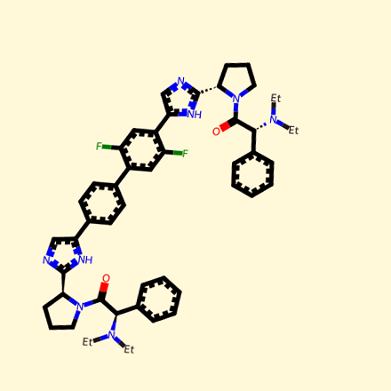 CCN(CC)[C@@H](C(=O)N1CCC[C@H]1c1ncc(-c2ccc(-c3cc(F)c(-c4cnc([C@@H]5CCCN5C(=O)[C@@H](c5ccccc5)N(CC)CC)[nH]4)cc3F)cc2)[nH]1)c1ccccc1